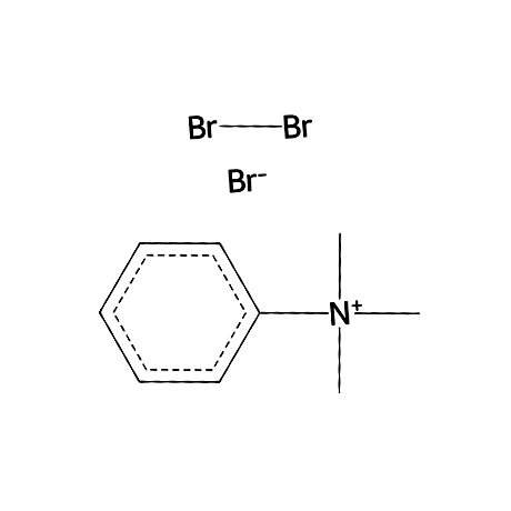 BrBr.C[N+](C)(C)c1ccccc1.[Br-]